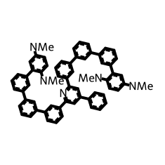 CNc1ccc(NC)c(-c2cccc(-c3cccc(-c4cccc(-c5cc(-c6ccccc6)cc(-c6cccc(-c7cccc(-c8cccc(-c9cc(NC)ccc9NC)c8)c7)c6)n5)c4)c3)c2)c1